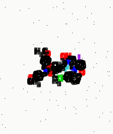 COc1ccc(CN(Cc2ccc(OC)cc2)S(=O)(=O)[C@H](C)[C@@H](C)C/C=C(\F)[C@H](CO)N2CCC[C@H]2CN2C[C@@]3(CCCc4cc(Cl)ccc43)COc3ccc(I)cc32)cc1